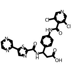 O=C(O)CC(NC(=O)c1ncc(-c2cnccn2)s1)c1ccc(NC(=O)c2c(Cl)cncc2Cl)cc1